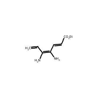 C=C/C(N)=C(N)\C=C\C(=O)OCC